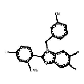 COc1cc(Cl)ccc1-c1nc2cc(F)c(F)cc2n1Cc1cccc(C#N)c1